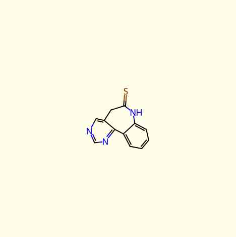 S=C1Cc2cncnc2-c2ccccc2N1